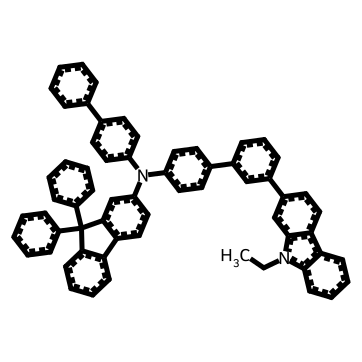 CCn1c2ccccc2c2ccc(-c3cccc(-c4ccc(N(c5ccc(-c6ccccc6)cc5)c5ccc6c(c5)C(c5ccccc5)(c5ccccc5)c5ccccc5-6)cc4)c3)cc21